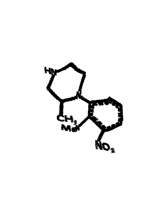 CNc1c(N2CCNCC2C)cccc1[N+](=O)[O-]